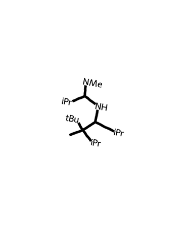 CNC(NC(C(C)C)C(C)(C(C)C)C(C)(C)C)C(C)C